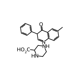 Cc1ccc2c(c1)C(=O)C(c1ccccc1)C=N2.O=C(O)C1CNCCN1